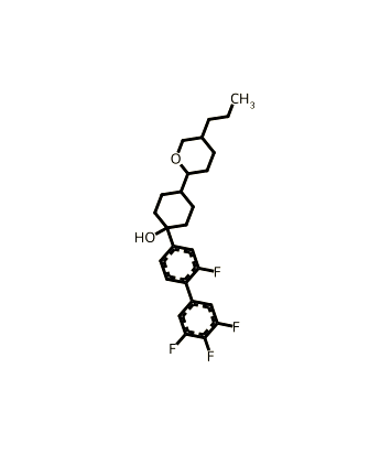 CCCC1CCC(C2CCC(O)(c3ccc(-c4cc(F)c(F)c(F)c4)c(F)c3)CC2)OC1